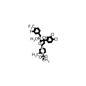 CC1CN(CCC(C)(C(=O)N(C)Cc2ccc(C(F)(F)F)c(F)c2)c2ccc(Cl)c(Cl)c2)CCN1S(C)(=O)=O